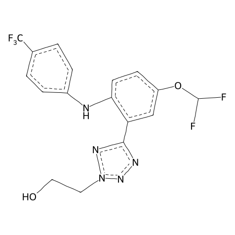 OCCn1nnc(-c2cc(OC(F)F)ccc2Nc2ccc(C(F)(F)F)cc2)n1